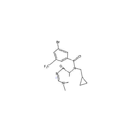 CC(C(=O)/N=C\N(C)C)N(CC1CC1)C(=O)c1cc(Br)cc(C(F)(F)F)c1